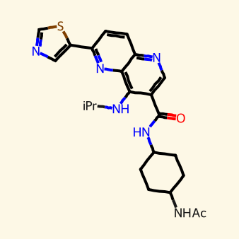 CC(=O)NC1CCC(NC(=O)c2cnc3ccc(-c4cncs4)nc3c2NC(C)C)CC1